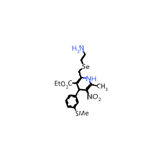 CCOC(=O)C1=C(C[Se]CCN)NC(C)=C([N+](=O)[O-])C1c1cccc(SC)c1